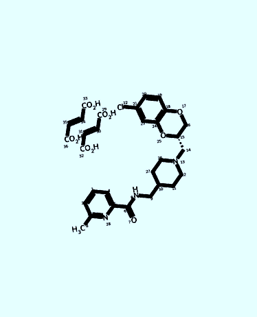 Cc1cccc(C(=O)NCC2CCN(C[C@H]3COc4ccc(Cl)cc4O3)CC2)n1.O=C(O)C=CC(=O)O.O=C(O)C=CC(=O)O